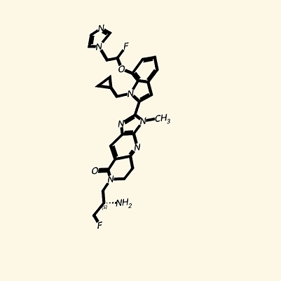 Cn1c(-c2cc3cccc(OC(F)Cn4ccnc4)c3n2CC2CC2)nc2cc3c(nc21)CCN(C[C@H](N)CF)C3=O